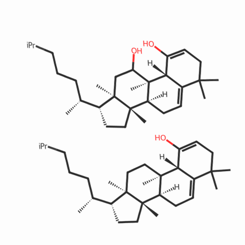 CC(C)CCC[C@@H](C)[C@H]1CC[C@@]2(C)[C@@H]3CC=C4[C@@H](C(O)=CCC4(C)C)[C@]3(C)C(O)C[C@]12C.CC(C)CCC[C@@H](C)[C@H]1CC[C@@]2(C)[C@@H]3CC=C4[C@@H](C(O)=CCC4(C)C)[C@]3(C)CC[C@]12C